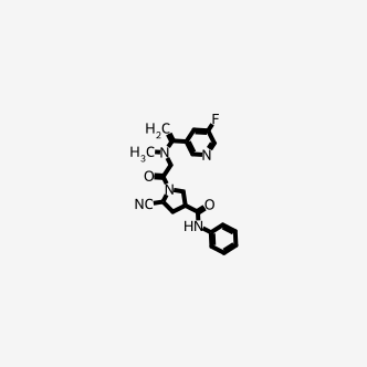 C=C(c1cncc(F)c1)N(C)CC(=O)N1CC(C(=O)Nc2ccccc2)CC1C#N